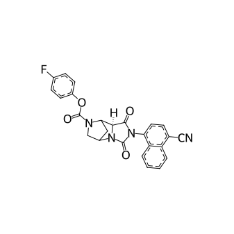 N#Cc1ccc(N2C(=O)[C@@H]3C4CC(CN4C(=O)Oc4ccc(F)cc4)N3C2=O)c2ccccc12